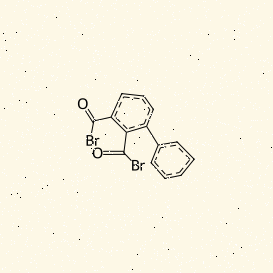 O=C(Br)c1cccc(-c2ccccc2)c1C(=O)Br